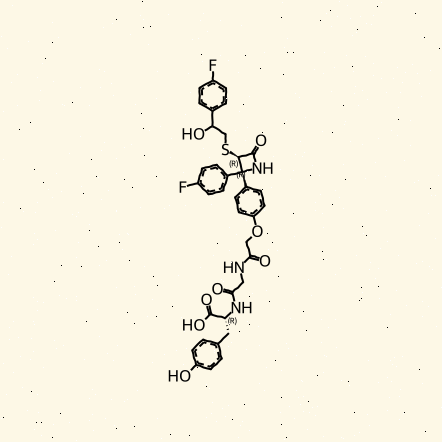 O=C(COc1ccc([C@]2(c3ccc(F)cc3)NC(=O)[C@@H]2SCC(O)c2ccc(F)cc2)cc1)NCC(=O)N[C@H](Cc1ccc(O)cc1)C(=O)O